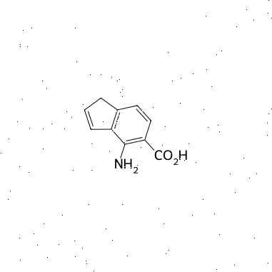 Nc1c(C(=O)O)ccc2c1C=CC2